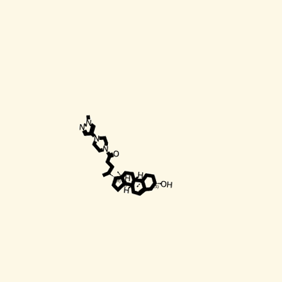 CC(CCC(=O)N1CCN(c2cnn(C)c2)CC1)[C@H]1CC[C@H]2[C@@H]3CC=C4C[C@@H](O)CC[C@]4(C)[C@H]3CC[C@]12C